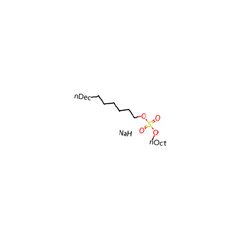 CCCCCCCCCCCCCCCCOS(=O)(=O)OCCCCCCCC.[NaH]